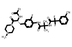 CCC(=O)N[C@H](Cc1ccc(NC(=O)C(C)(C)NC(=O)C(F)(F)c2cccc(C#N)c2)c(F)c1)C(=O)N1CCN(C)CC1